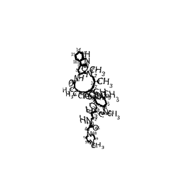 C[C@H]1CN(C)C(=O)C(Cc2c[nH]c3ccccc23)NC(=O)[C@H](C)[C@@H](C)[C@H](C)[C@@H](O[C@@H]2O[C@H](C)C[C@H](N(C)C)[C@H]2OCCCNC(=O)CN2CCN(C)CC2)[C@](C)(O)C1